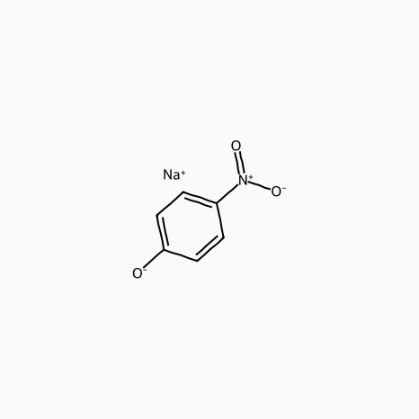 O=[N+]([O-])c1ccc([O-])cc1.[Na+]